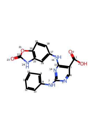 O=C(O)c1cnc(Nc2ccccc2)nc1Nc1ccc2oc(=O)[nH]c2c1